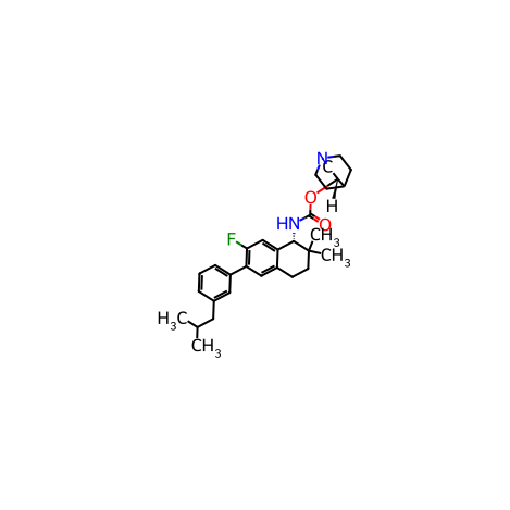 CC(C)Cc1cccc(-c2cc3c(cc2F)[C@H](NC(=O)O[C@@H]2CN4CCC2CC4)C(C)(C)CC3)c1